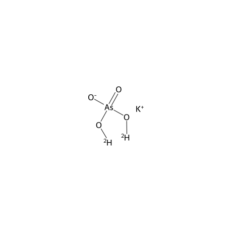 [2H]O[As](=O)([O-])O[2H].[K+]